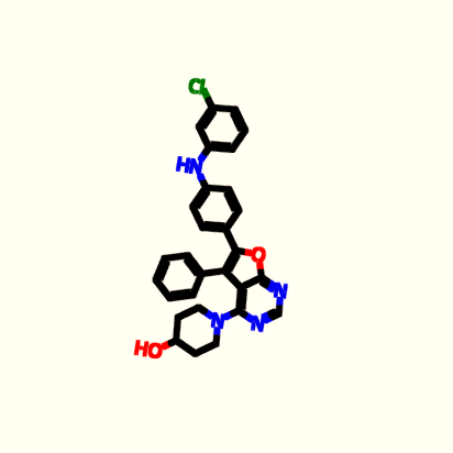 OC1CCN(c2ncnc3oc(-c4ccc(Nc5cccc(Cl)c5)cc4)c(-c4ccccc4)c23)CC1